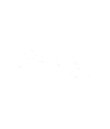 Cc1c(CCN2CCC(NC(=O)c3ccc(F)c(C#N)c3)CC2)ccc2c1COC2=O